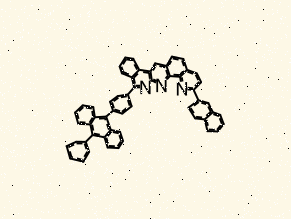 c1ccc(-c2c3ccccc3c(-c3ccc(-c4nc5nc6c(ccc7ccc(-c8ccc9ccccc9c8)nc76)cc5c5ccccc45)cc3)c3ccccc23)cc1